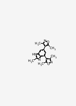 Cc1nc2c(-c3c(C)noc3C)cc(-c3c(C)noc3C)cc2[nH]1